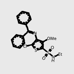 CCNS(=O)(=O)c1sc(Cl)c(N=C(c2ccccc2)c2ccccc2)c1OC